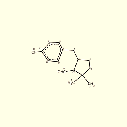 CC1(C)CCC(Cc2ccc(Cl)cc2)C1C=O